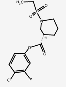 CCS(=O)(=O)N1CCC[C@H](C(=O)Oc2ccc(Cl)c(F)c2)C1